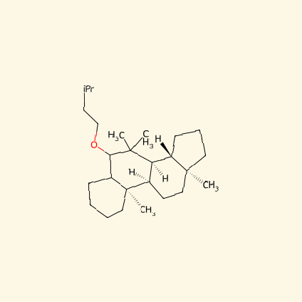 CC(C)CCOC1C2CCCC[C@]2(C)[C@@H]2CC[C@]3(C)CCC[C@H]3[C@@H]2C1(C)C